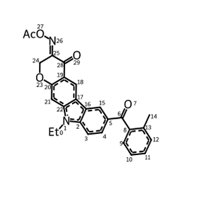 CCn1c2ccc(C(=O)c3ccccc3C)cc2c2cc3c(cc21)OC/C(=N\OC(C)=O)C3=O